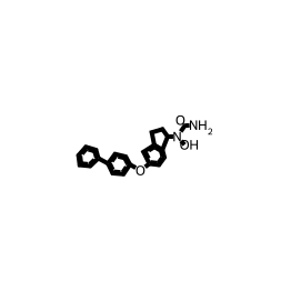 NC(=O)N(O)C1CCc2cc(Oc3ccc(-c4ccccc4)cc3)ccc21